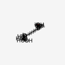 CC(=O)N[C@H]1[C@H](OCCCCCCCCCCCCCOC[C@@H](CC(C)(C)C)OP(=O)(O)OC(C)(C)C)O[C@H](CO)[C@H](O)[C@@H]1O